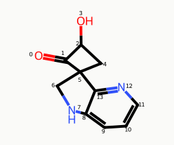 O=C1C(O)CC12CNc1cccnc12